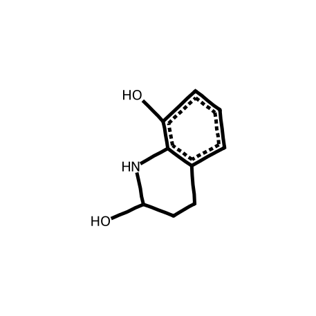 Oc1cccc2c1NC(O)CC2